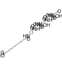 O=CCC[C@H](NC(=O)CC[C@H](NC(=O)CC[C@H](NC(=O)CC[C@H](NC(=O)[C@H]1CC[C@H](CNC(=O)CCCCCCCCCCCCCCCCCCC(=O)O)CC1)C(=O)O)C(=O)O)C(=O)O)C(=O)O